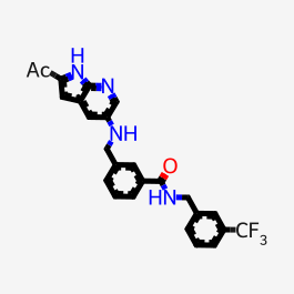 CC(=O)c1cc2cc(NCc3cccc(C(=O)NCc4cccc(C(F)(F)F)c4)c3)cnc2[nH]1